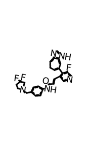 O=C(/C=C/c1cncc(F)c1C1=CCC=c2nc[nH]c2=C1)Nc1ccc(CN2CCC(F)(F)C2)cc1